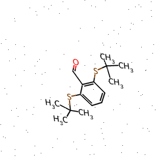 CC(C)(C)Sc1cccc(SC(C)(C)C)c1C=O